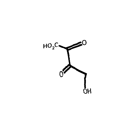 O=C(O)C(=O)C(=O)CO